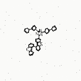 c1ccc(-c2ccc(-c3nc(-c4cccc(-c5ccccc5)c4)nc(-c4ccc5c(c4)sc4cccc(-c6cccc7oc8ccccc8c67)c45)n3)cc2)cc1